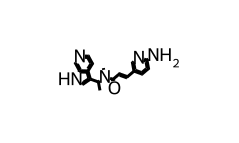 CC(c1c[nH]c2cnccc12)N(C)C(=O)C=Cc1ccc(N)nc1